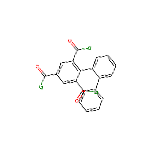 O=C(Cl)c1cc(C(=O)Cl)c(-c2ccccc2-c2ccccc2)c(C(=O)Cl)c1